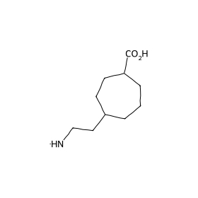 [NH]CCC1CCCC(C(=O)O)CC1